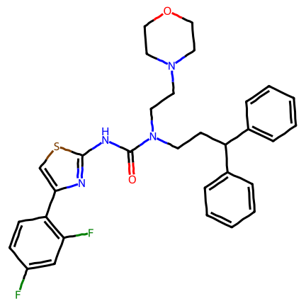 O=C(Nc1nc(-c2ccc(F)cc2F)cs1)N(CCC(c1ccccc1)c1ccccc1)CCN1CCOCC1